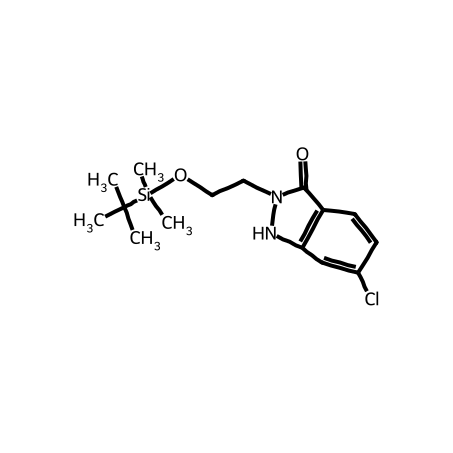 CC(C)(C)[Si](C)(C)OCCn1[nH]c2cc(Cl)ccc2c1=O